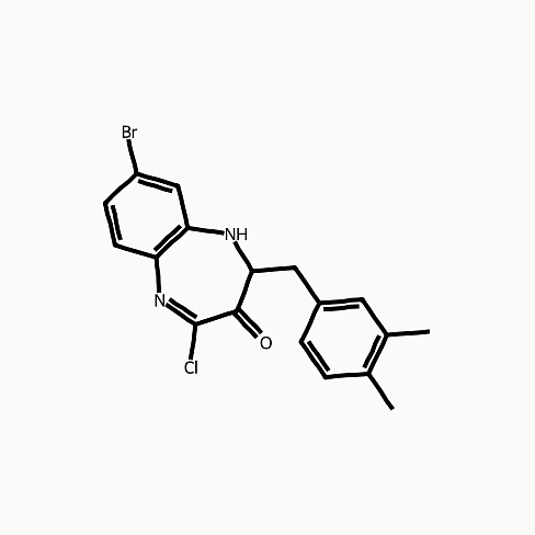 Cc1ccc(CC2Nc3cc(Br)ccc3N=C(Cl)C2=O)cc1C